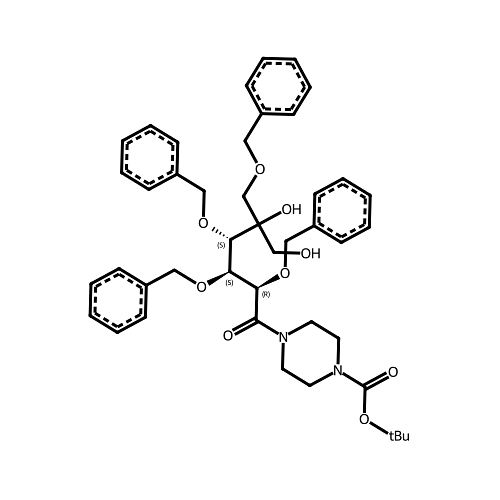 CC(C)(C)OC(=O)N1CCN(C(=O)[C@H](OCc2ccccc2)[C@@H](OCc2ccccc2)[C@H](OCc2ccccc2)C(O)(CO)COCc2ccccc2)CC1